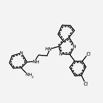 Nc1cccnc1NCCNc1nc(-c2ccc(Cl)cc2Cl)nc2ccccc12